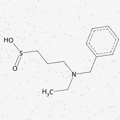 CCN(CCCS(=O)O)Cc1ccccc1